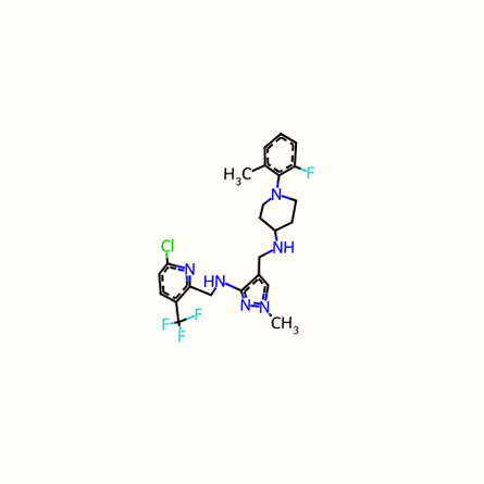 Cc1cccc(F)c1N1CCC(NCc2cn(C)nc2NCc2nc(Cl)ccc2C(F)(F)F)CC1